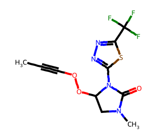 CC#COOC1CN(C)C(=O)N1c1nnc(C(F)(F)F)s1